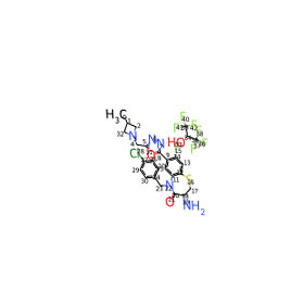 CC1CN(Cc2nnc(-c3cc4c(cc3F)SC[C@H](N)C(=O)N4Cc3ccc(Cl)cc3)o2)C1.OC(C(F)(F)F)C(F)(F)F